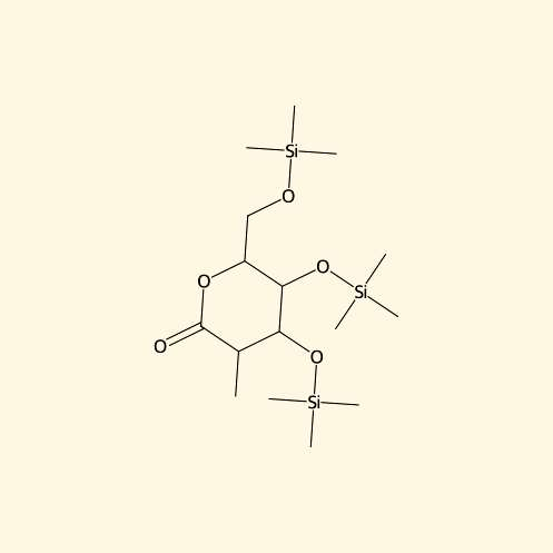 CC1C(=O)OC(CO[Si](C)(C)C)C(O[Si](C)(C)C)C1O[Si](C)(C)C